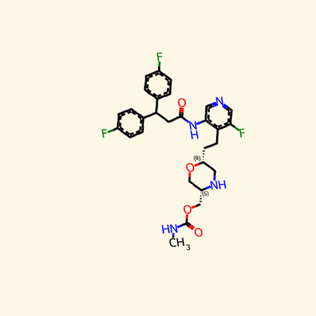 CNC(=O)OC[C@@H]1CO[C@H](CCc2c(F)cncc2NC(=O)CC(c2ccc(F)cc2)c2ccc(F)cc2)CN1